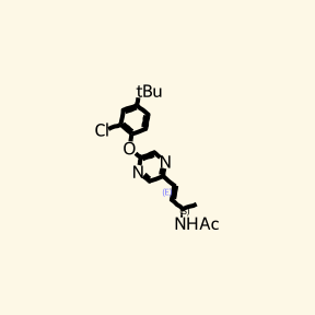 CC(=O)N[C@@H](C)/C=C/c1cnc(Oc2ccc(C(C)(C)C)cc2Cl)cn1